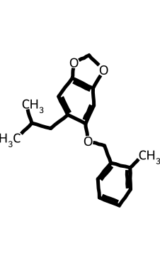 Cc1ccccc1COc1cc2c(cc1CC(C)C)OCO2